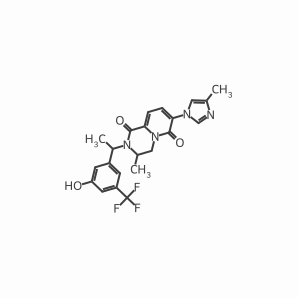 Cc1cn(-c2ccc3n(c2=O)CC(C)N(C(C)c2cc(O)cc(C(F)(F)F)c2)C3=O)cn1